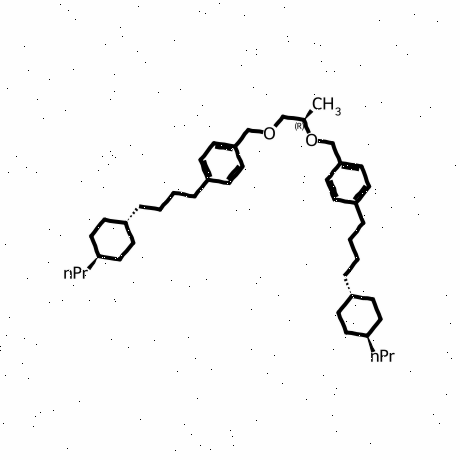 CCC[C@H]1CC[C@H](CCCCc2ccc(COC[C@@H](C)OCc3ccc(CCCC[C@H]4CC[C@H](CCC)CC4)cc3)cc2)CC1